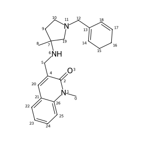 Cn1c(=O)c(CNC2(C)CCN(CC3=CCCC=C3)C2)cc2ccccc21